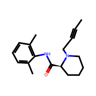 CC#CCN1CCCC[C@H]1C(=O)Nc1c(C)cccc1C